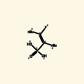 CCCCC(F)=C(CCCC)P(=O)(O)O